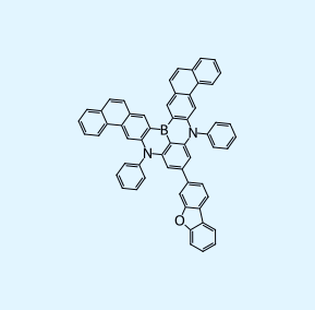 c1ccc(N2c3cc4c(ccc5ccccc54)cc3B3c4cc5ccc6ccccc6c5cc4N(c4ccccc4)c4cc(-c5ccc6c(c5)oc5ccccc56)cc2c43)cc1